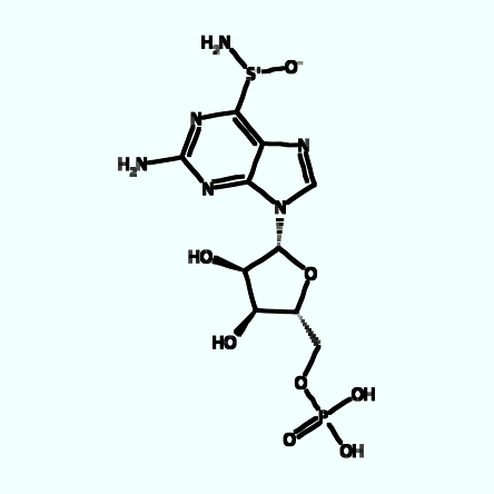 Nc1nc([S+](N)[O-])c2ncn([C@@H]3O[C@H](COP(=O)(O)O)[C@@H](O)[C@H]3O)c2n1